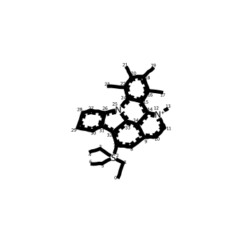 CCS(CC)(CC)c1cc2cc[n+](C)c3c4c(C)c(C)c(C)c(C)c4n4c5ccccc5c1c4c23